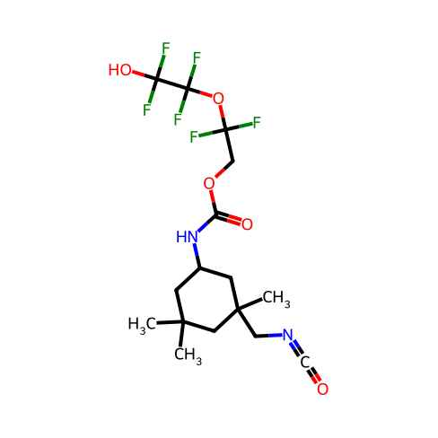 CC1(C)CC(NC(=O)OCC(F)(F)OC(F)(F)C(O)(F)F)CC(C)(CN=C=O)C1